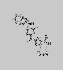 Cc1cc(N(C)c2nc(C(=O)O)c(C3CCNCC3)s2)nnc1Nc1nc2ccccc2s1